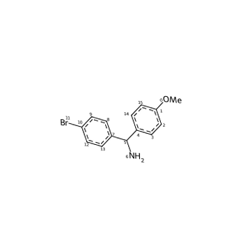 COc1ccc(C(N)c2ccc(Br)cc2)cc1